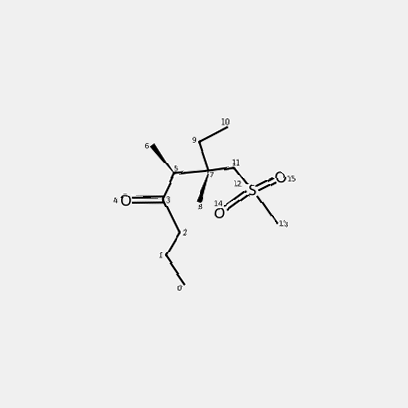 CCCC(=O)[C@@H](C)[C@](C)(CC)CS(C)(=O)=O